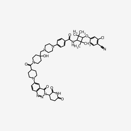 CC1(C)C(NC(=O)c2ccc(N3CCN(CC4(O)CCN(C(=O)C5CCN(c6ccc7nnn(C8CCC(=O)NC8=O)c(=O)c7c6)CC5)CC4)CC3)cc2)C(C)(C)C1Oc1ccc(C#N)c(Cl)c1